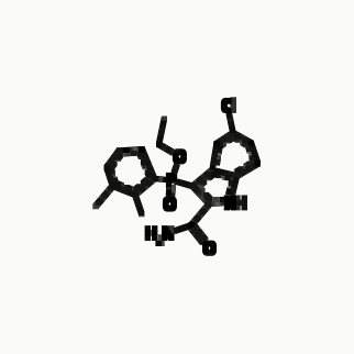 CCOP(=O)(c1cccc(C)c1C)c1c(C(N)=O)[nH]c2ccc(Cl)cc12